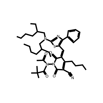 CCCCC1=C(C#N)C(=O)N(N(C(C)=O)C(=O)C(C)(C)C)C(=O)/C1=C\c1sc(N(CC(CC)CCCC)CC(CC)CCCC)nc1-c1ccccc1